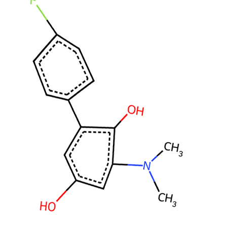 CN(C)c1cc(O)cc(-c2ccc(F)cc2)c1O